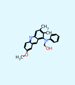 COc1ccc2nc3cc(C)c(C)c(N(CO)c4ccccc4)c3cc2c1